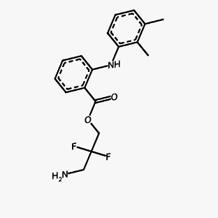 Cc1cccc(Nc2ccccc2C(=O)OCC(F)(F)CN)c1C